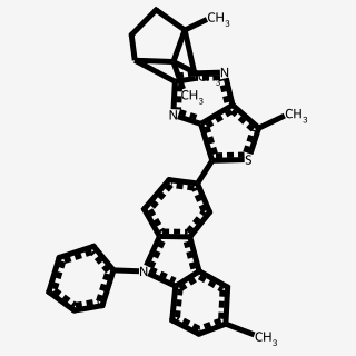 Cc1ccc2c(c1)c1cc(-c3sc(C)c4nc5c(nc34)C3CCC5(C)C3(C)C)ccc1n2-c1ccccc1